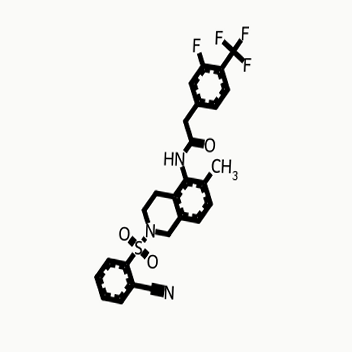 Cc1ccc2c(c1NC(=O)Cc1ccc(C(F)(F)F)c(F)c1)CCN(S(=O)(=O)c1ccccc1C#N)C2